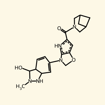 CN1NC2C=C(N3COc4cc(C(=O)N5CC6CC(C6)C5)[nH]c43)C=CC2C1O